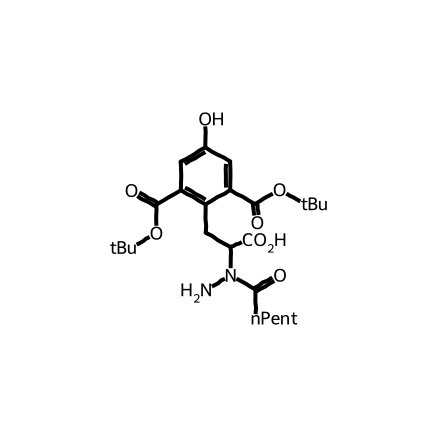 CCCCCC(=O)N(N)C(Cc1c(C(=O)OC(C)(C)C)cc(O)cc1C(=O)OC(C)(C)C)C(=O)O